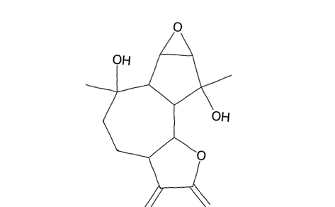 C=C1C(=O)OC2C1CCC(C)(O)C1C3OC3C(C)(O)C21